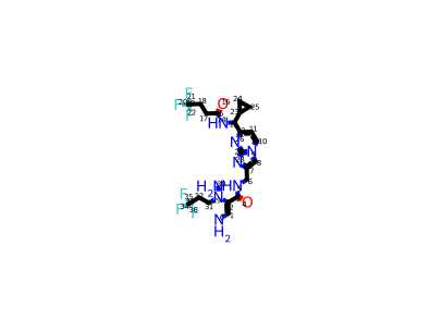 N/C=C(/C(=O)NCc1cn2ccc(C(NC(=O)CCC(F)(F)F)C3CC3)nc2n1)N(N)CCC(F)(F)F